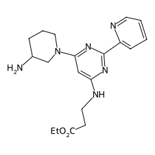 CCOC(=O)CCNc1cc(N2CCCC(N)C2)nc(-c2ccccn2)n1